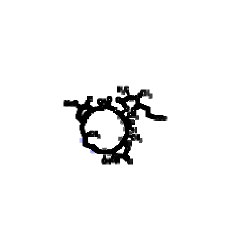 COc1cc2cc(c1Cl)N(C)C(=O)C[C@H](OC(=O)[C@H](C)N(C)C(=O)CCSC)[C@]1(C)O[C@H]1[C@H](C)[C@@H]1C[C@@](O)(NC(=O)O1)[C@H](O)/C=C/C=C(\C)C2